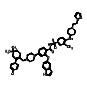 Cc1cc(S(=O)(=O)NC(=O)c2ccc(N3CCN(CC4=C(c5ccc(Cl)cc5)CC(C)(C)CC4)CC3)cc2Oc2ccc3[nH]ccc3c2)ccc1NC1CCN(CCn2cccn2)CC1